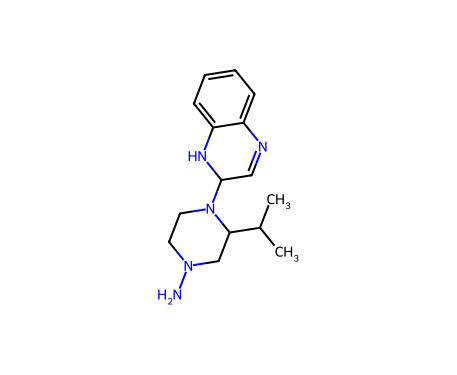 CC(C)C1CN(N)CCN1C1C=Nc2ccccc2N1